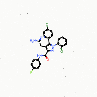 N=C(N)Cc1c(C(=O)Nc2ccc(F)cc2)nn(-c2ccccc2Cl)c1-c1ccc(Cl)cc1